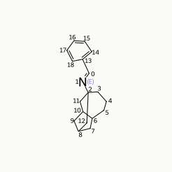 C(=N\C12CCCC3CC(CC3C1)C2)/c1ccccc1